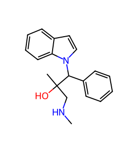 CNCC(C)(O)C(c1ccccc1)n1ccc2ccccc21